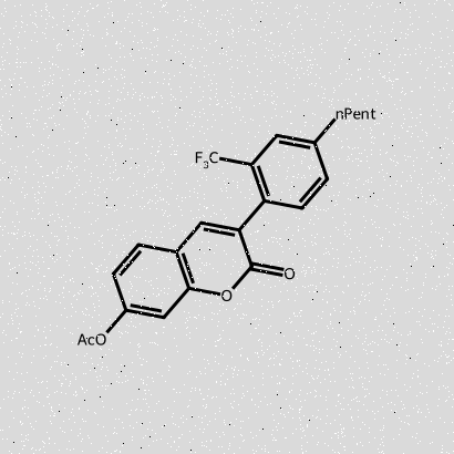 CCCCCc1ccc(-c2cc3ccc(OC(C)=O)cc3oc2=O)c(C(F)(F)F)c1